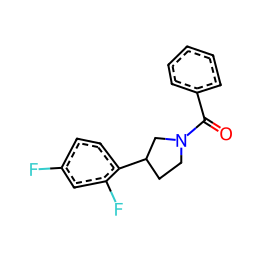 O=C(c1ccccc1)N1CCC(c2ccc(F)cc2F)C1